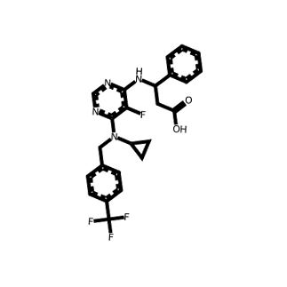 O=C(O)CC(Nc1ncnc(N(Cc2ccc(C(F)(F)F)cc2)C2CC2)c1F)c1ccccc1